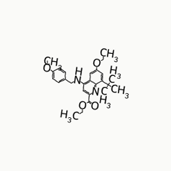 CCOC(=O)c1cc(NCc2ccc(OC)cc2)c2cc(OCC)cc(C(C)(C)C)c2n1